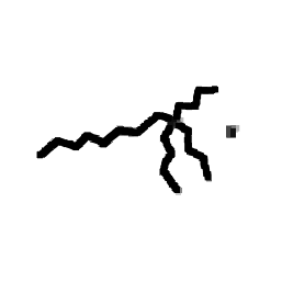 CCCCCCC[CH2][Al-]([CH2]CCC)([CH2]CCC)[CH2]CCC.[Li+]